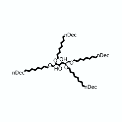 CCCCCCCCCCCCCCCCCCOC[C@@H](OCCCCCCCCCCCCCCCCCC)[C@@H](O)[C@H](O)[C@@H](COCCCCCCCCCCCCCCCCCC)OCCCCCCCCCCCCCCCCCC